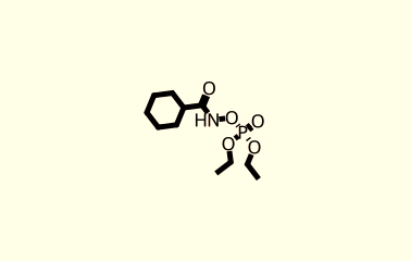 CCOP(=O)(OCC)ONC(=O)C1CCCCC1